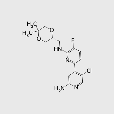 CC1(C)CO[C@H](CNc2nc(-c3cc(N)ncc3Cl)ccc2F)CO1